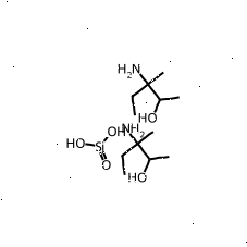 CCC(C)(N)C(C)O.CCC(C)(N)C(C)O.O=[Si](O)O